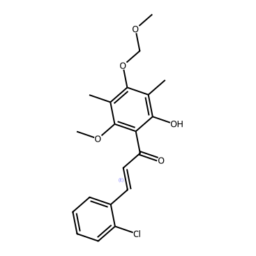 COCOc1c(C)c(O)c(C(=O)/C=C/c2ccccc2Cl)c(OC)c1C